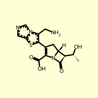 C[C@@H](O)[C@H]1C(=O)N2C(C(=O)O)=C(c3sc4cncn4c3CN)C[C@H]12